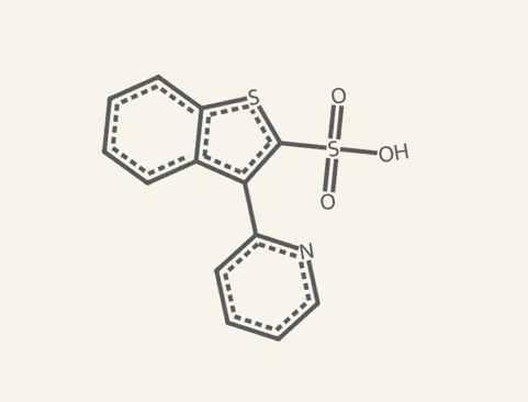 O=S(=O)(O)c1sc2ccccc2c1-c1ccccn1